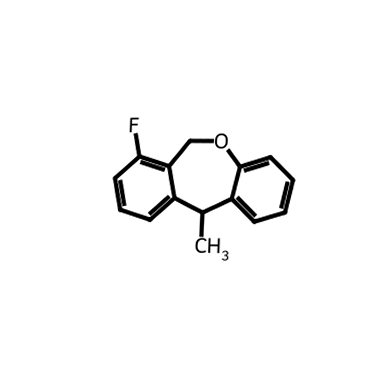 CC1c2ccccc2OCc2c(F)cccc21